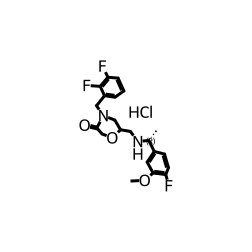 COc1cc([C@@H](C)NCC2CN(Cc3cccc(F)c3F)C(=O)CO2)ccc1F.Cl